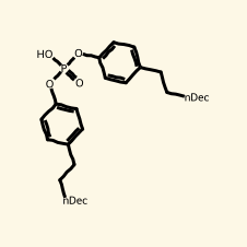 CCCCCCCCCCCCc1ccc(OP(=O)(O)Oc2ccc(CCCCCCCCCCCC)cc2)cc1